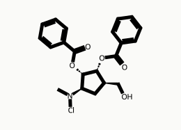 CN(Cl)[C@@H]1C[C@H](CO)[C@@H](OC(=O)c2ccccc2)[C@H]1OC(=O)c1ccccc1